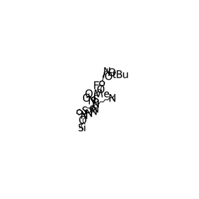 COC(=O)c1nc(N(CCCCCCN(C)C)c2cc(C)c(/N=c3\sc4ccccc4n3COCC[Si](C)(C)C)nn2)sc1CCCOc1ccc(C#CCN(C)C(=O)OC(C)(C)C)cc1F